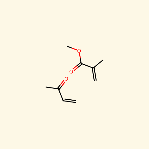 C=C(C)C(=O)OC.C=CC(C)=O